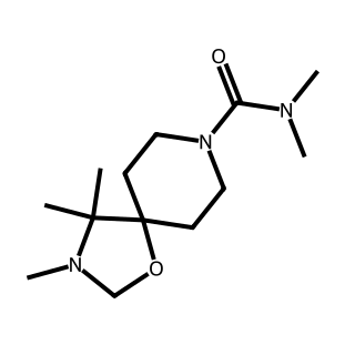 CN(C)C(=O)N1CCC2(CC1)OCN(C)C2(C)C